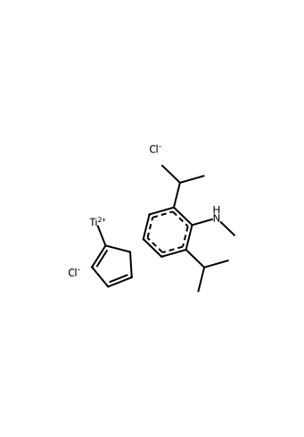 CNc1c(C(C)C)cccc1C(C)C.[Cl-].[Cl-].[Ti+2][C]1=CC=CC1